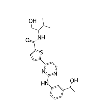 CC(O)c1cccc(Nc2nccc(-c3ccc(C(=O)NC(CO)C(C)C)s3)n2)c1